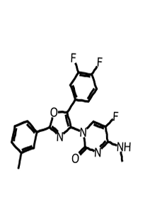 CNc1nc(=O)n(-c2nc(-c3cccc(C)c3)oc2-c2ccc(F)c(F)c2)cc1F